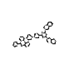 c1ccc(-c2nc3ccccc3c3c(-c4ccc(-c5ccc(-c6nc(-c7ccc8ccccc8c7)nc(-c7ccc8ccccc8c7)n6)cc5)cc4)cccc23)cc1